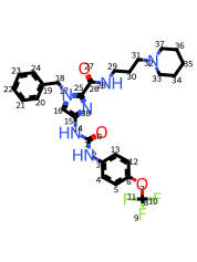 O=C(Nc1ccc(OC(F)(F)F)cc1)Nc1cn(Cc2ccccc2)c(C(=O)NCCCN2CCCCC2)n1